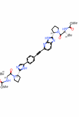 CC[C@H](C)[C@H](NC(=O)OC)C(=O)N1CCC[C@H]1c1ncc(-c2ccc(C#Cc3ccc4nc([C@@H]5CCCN5C(=O)[C@@H](NC(=O)OC)[C@@H](C)CC)[nH]c4n3)cc2)[nH]1